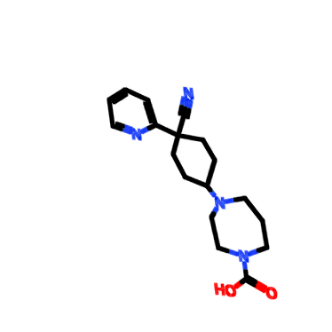 N#CC1(c2ccccn2)CCC(N2CCCN(C(=O)O)CC2)CC1